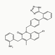 CCc1ccc2c(C)c(Cc3ccccc3N)c(=O)n(Cc3ccc(-c4ccccc4-c4nnn[nH]4)cc3)c2c1